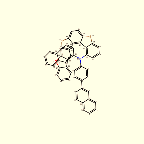 c1ccc2cc(-c3ccc(N(c4cccc5oc6ccccc6c45)c4cccc5sc6ccc7sc8c9ccccc9ccc8c7c6c45)cc3)ccc2c1